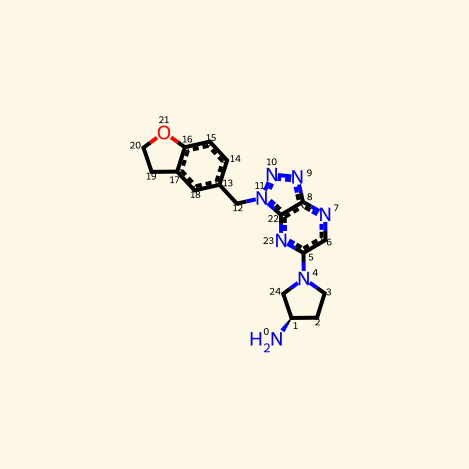 N[C@@H]1CCN(c2cnc3nnn(Cc4ccc5c(c4)CCO5)c3n2)C1